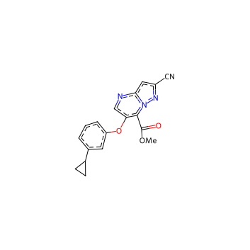 COC(=O)c1c(Oc2cccc(C3CC3)c2)cnc2cc(C#N)nn12